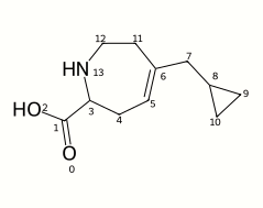 O=C(O)C1CC=C(CC2CC2)CCN1